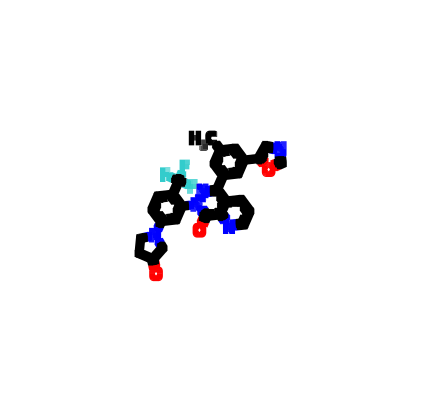 Cc1cc(-c2cnco2)cc(-c2nn(-c3cc(N4CCC(=O)C4)ccc3C(F)(F)F)c(=O)c3ncccc23)c1